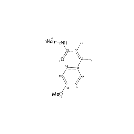 CCCCCCCCCNC(=O)C(C)=C(C)c1ccc(OC)cc1